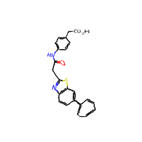 O=C(O)Cc1ccc(NC(=O)Cc2nc3ccc(-c4ccccc4)cc3s2)cc1